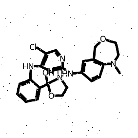 CN1CCOCc2cc(Nc3ncc(Cl)c(Nc4ccccc4C4(O)NCCO4)n3)ccc21